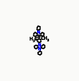 Cc1cc(N2c3ccccc3N(c3ccccc3)c3ccccc32)cc(C)c1B1c2ccccc2N(c2ccccc2)c2ccccc21